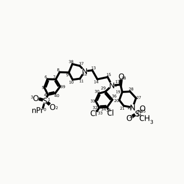 CCCS(=O)(=O)c1ccc(CC2CCN(CCCN(C(=O)C3CCN(S(C)(=O)=O)CC3)c3ccc(Cl)c(Cl)c3)CC2)cc1